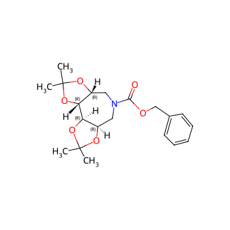 CC1(C)O[C@H]2[C@@H]3OC(C)(C)O[C@@H]3CN(C(=O)OCc3ccccc3)C[C@H]2O1